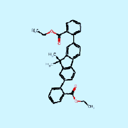 CCOC(=O)c1ccccc1-c1ccc2c(c1)C(C)(C)c1cc(-c3ccccc3C(=O)OCC)ccc1-2